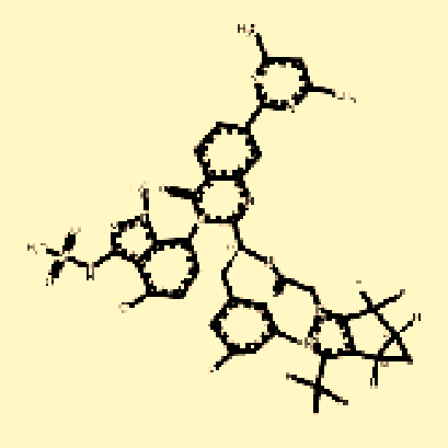 Cc1cc(C)nc(-c2ccc3c(=O)n(-c4ccc(Cl)c5c(NS(C)(=O)=O)nn(C)c45)c([C@H](Cc4cc(F)cc(F)c4)NC(=O)Cn4nc(C(F)(F)F)c5c4C(F)(F)[C@@H]4C[C@H]54)nc3c2)n1